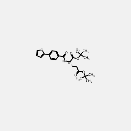 CC(C)(C)OC(=O)CC[C@H](NC(=O)c1ccc(-c2ccco2)cc1)C(=O)OC(C)(C)C